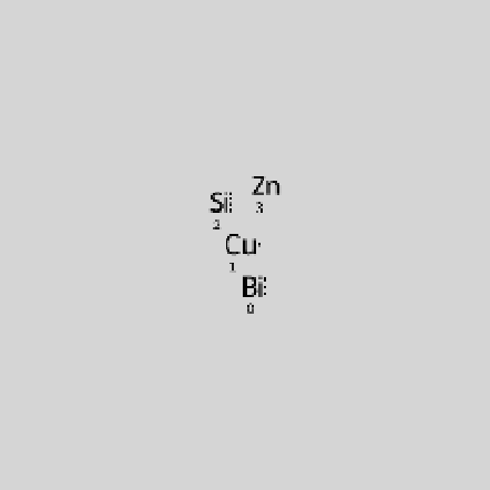 [Bi].[Cu].[Si].[Zn]